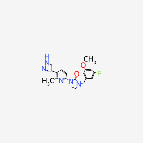 COc1cc(F)cc(CN2CCN(c3ccc(-c4cn[nH]c4)c(C)n3)C2=O)c1